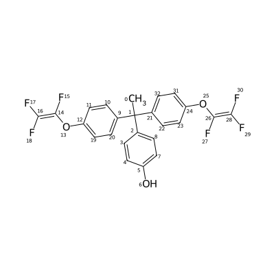 CC(c1ccc(O)cc1)(c1ccc(OC(F)=C(F)F)cc1)c1ccc(OC(F)=C(F)F)cc1